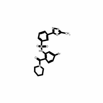 Cc1nnc(-c2cccc(S(=O)(=O)Nc3cc(Br)ccc3C(=O)N3CCCCC3)c2)o1